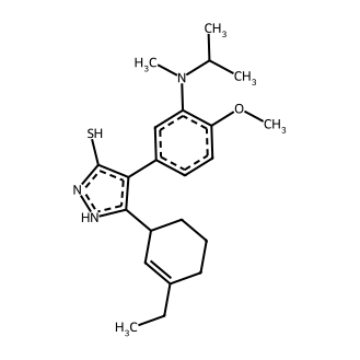 CCC1=CC(c2[nH]nc(S)c2-c2ccc(OC)c(N(C)C(C)C)c2)CCC1